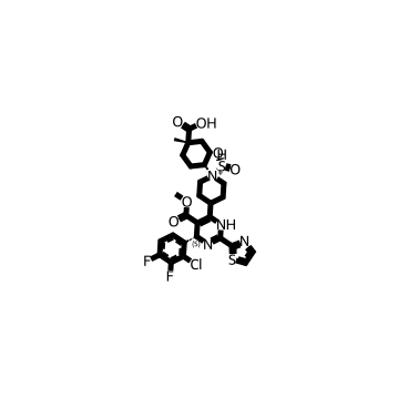 COC(=O)C1=C(C2CC[N+]([C@H]3CC[C@@](C)(C(=O)O)CC3)([SH](=O)=O)CC2)NC(c2nccs2)=N[C@@H]1c1ccc(F)c(F)c1Cl